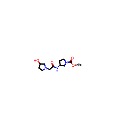 CC(C)(C)OC(=O)N1CC[C@H](NC(=O)CN2CCC(O)C2)C1